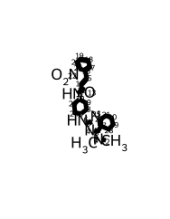 CN(C)c1nc(NC2CCC(NC(=O)/C=C/c3ccccc3[N+](=O)[O-])CC2)nc2c1CCCC2